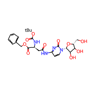 CC(C)(C)OC(=O)N[C@@H](CC(=O)Nc1ccn([C@@H]2O[C@H](CO)C(O)C2O)c(=O)n1)C(=O)OCc1ccccc1